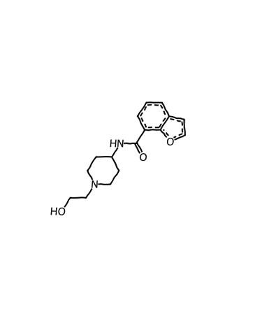 O=C(NC1CCN(CCO)CC1)c1cccc2ccoc12